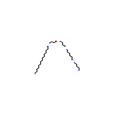 N[C@H]([C]=O)CCCCNC(=O)[C@@H](N)CCCCNC(=O)CC[C@H](NC(=O)CC[C@H](NC(=O)CCCCCCCCCCCCCCC(=O)O)C(=O)O)C(=O)O